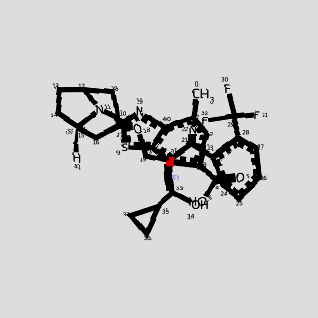 Cc1cc(C(=O)O)cc2sc(N3C4CC[C@H]3CC(OC/C(C(=N)c3ccccc3C(F)(F)F)=C(/O)C3CC3)C4)nc12